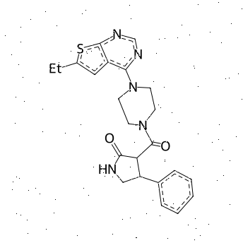 CCc1cc2c(N3CCN(C(=O)C4C(=O)NCC4c4ccccc4)CC3)ncnc2s1